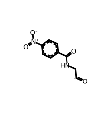 O=[C]CNC(=O)c1ccc([N+](=O)[O-])cc1